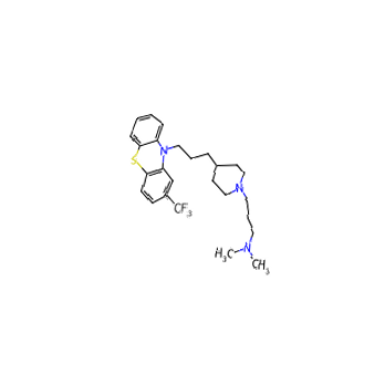 CN(C)CCCN1CCC(CCCN2c3ccccc3Sc3ccc(C(F)(F)F)cc32)CC1